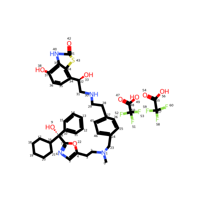 CN(CCc1cnc([C@](O)(c2ccccc2)C2CCCCC2)o1)Cc1ccc(CCNC[C@H](O)c2ccc(O)c3[nH]c(=O)sc23)cc1.O=C(O)C(F)(F)F.O=C(O)C(F)(F)F